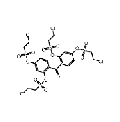 O=C(c1ccc(OS(=O)(=O)CCCl)cc1OS(=O)(=O)CCCl)c1ccc(OS(=O)(=O)CCCl)cc1OS(=O)(=O)CCCl